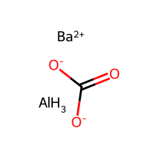 O=C([O-])[O-].[AlH3].[Ba+2]